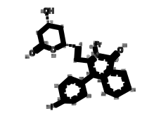 CC(C)n1c(C=C[C@H]2C[C@@H](O)CC(=O)O2)c(-c2ccc(F)cc2)c2ccccc2c1=O